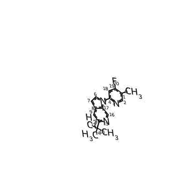 Cc1cnc(-n2ccc3cc(C(C)(C)C)ncc32)cc1F